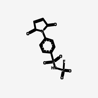 O=C1C=CC(=O)N1c1ccc(S(=O)(=O)NS(=O)(=O)F)cc1